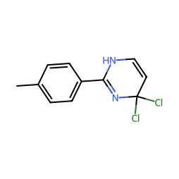 Cc1ccc(C2=NC(Cl)(Cl)C=CN2)cc1